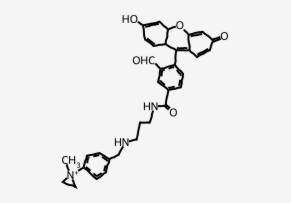 C[N+]1(c2ccc(CNCCCNC(=O)c3ccc(C4=C5C=CC(=O)C=C5OC5C=C(O)C=CC45)c(C=O)c3)cc2)CC1